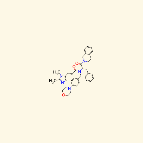 Cc1ncc(/C=C/C(=O)N(Cc2ccc(N3CCOCC3)cc2)[C@@H](Cc2ccccc2)C(=O)N2CCc3ccccc3C2)n1C